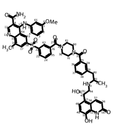 COc1cccc(Nc2c(C(N)=O)cnc3c(C)cc(S(=O)(=O)c4cccc(C(=O)N5CCN(C(=O)c6cccc(CC(C)NC[C@@H](O)c7ccc(O)c8[nH]c(=O)ccc78)c6)CC5)c4)cc23)c1